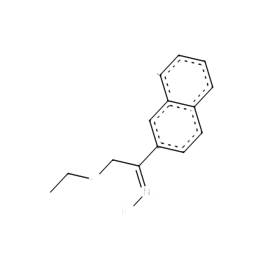 CCOCC(=NO)c1ccc2ccccc2c1